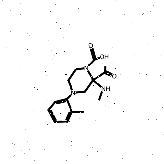 CNC1(C(C)=O)CN(c2ccccc2C)CCN1C(=O)O